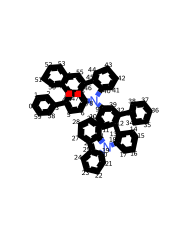 c1ccc(-c2ccc(N(c3ccc(-c4ccccc4-n4c5ccccc5c5ccccc54)c(-c4ccccc4)c3)c3ccccc3-c3ccc4ccccc4c3)cc2)cc1